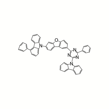 c1ccc(-c2nc(-c3ccc4oc5cc(-n6c7ccccc7c7c(-c8ccccc8)cccc76)ccc5c4c3)nc(-n3c4ccccc4c4ccccc43)n2)cc1